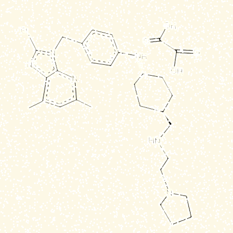 CCc1nc2c(C)cc(C)nc2n1Cc1ccc(N[C@H]2CC[C@H](CNCCN3CCCC3)CC2)cc1.O=C(O)C(=O)O